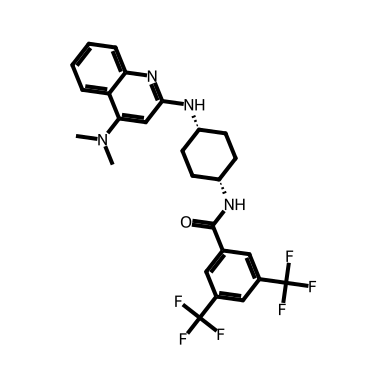 CN(C)c1cc(N[C@H]2CC[C@@H](NC(=O)c3cc(C(F)(F)F)cc(C(F)(F)F)c3)CC2)nc2ccccc12